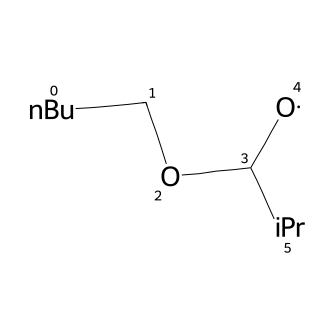 CCCCCOC([O])C(C)C